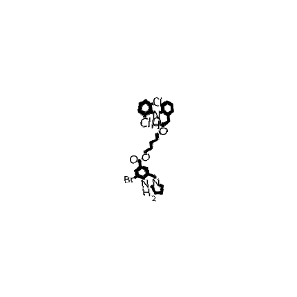 Nc1c(Br)cc(C(=O)OCCCCCOC(=O)Cc2ccccc2Nc2c(Cl)cccc2Cl)cc1CN1CCCC1